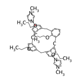 CCCOc1c2cccc1Cc1cc(-n3cc[n+](C)c3)cc(c1OCCC)Cc1cccc(c1OCCC)Cc1cc(-n3cc[n+](C)c3)cc(c1OCCC)C2